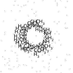 CN1[SiH](C)N[SiH2]N[SiH2]N[Si](C)(C)N(C)[Si](C)(C)N(C)[Si](C)(C)N(C)[Si](C)(C)N(C)[Si]1(C)C